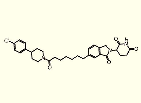 O=C1CCC(N2Cc3ccc(CCCCCCC(=O)N4CCC(c5ccc(Cl)cc5)CC4)cc3C2=O)C(=O)N1